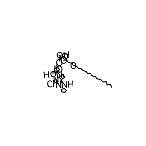 CCCCCCCCCCCCCCCCOCCCOP(=O)(O)COC[C@@H]1C[C@@H](O)[C@H](n2ccc3c(NC4CCCC4)nc(Cl)nc32)O1